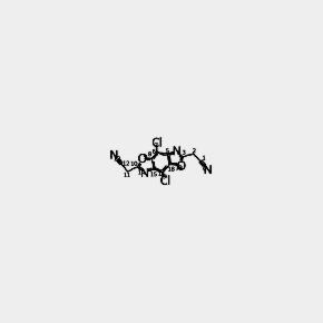 N#CCc1nc2c(Cl)c3oc(CC#N)nc3c(Cl)c2o1